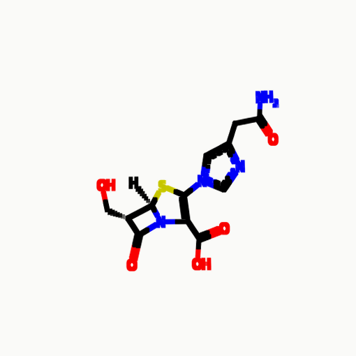 NC(=O)Cc1cn(C2=C(C(=O)O)N3C(=O)[C@H](CO)[C@H]3S2)cn1